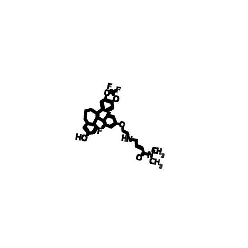 CN(C)C(=O)/C=C/CNCCOc1cc(F)c(C2=C(c3ccc4c(c3)OC(F)(F)O4)CCCc3cc(O)ccc32)c(F)c1